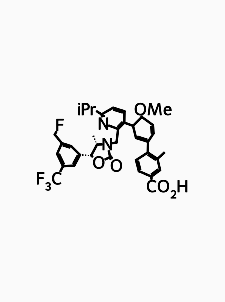 COC1C=CC(c2ccc(C(=O)O)cc2C)=CC1c1ccc(C(C)C)nc1CN1C(=O)O[C@H](c2cc(CF)cc(C(F)(F)F)c2)[C@@H]1C